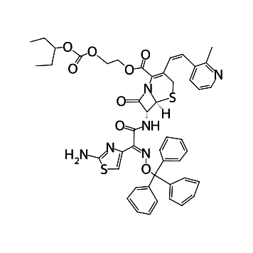 CCC(CC)OC(=O)OCCOC(=O)C1=C(/C=C\c2cccnc2C)CS[C@H]2[C@H](NC(=O)C(=NOC(c3ccccc3)(c3ccccc3)c3ccccc3)c3csc(N)n3)C(=O)N12